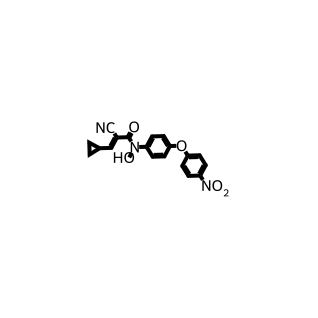 N#CC(=CC1CC1)C(=O)N(O)c1ccc(Oc2ccc([N+](=O)[O-])cc2)cc1